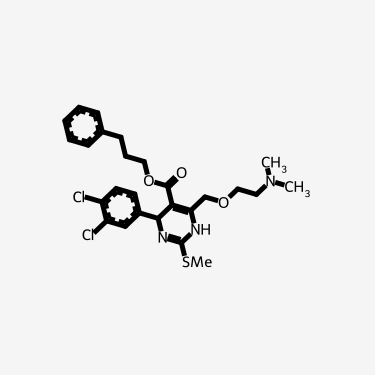 CSC1=NC(c2ccc(Cl)c(Cl)c2)C(C(=O)OCCCc2ccccc2)=C(COCCN(C)C)N1